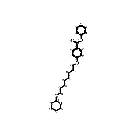 O=C(Oc1cc[c]cc1)c1ccc(OCCCCCCCCOC2CCCCO2)cc1